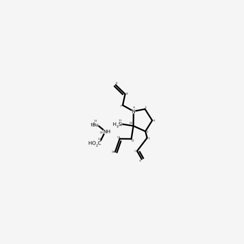 C=CCC1CCN(CC=C)C1([SiH3])CC=C.CC(C)(C)NC(=O)O